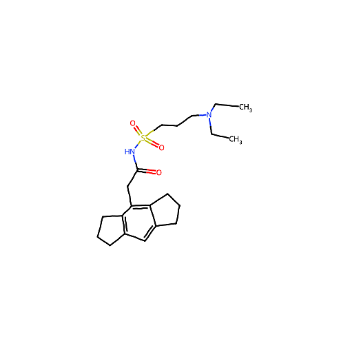 CCN(CC)CCCS(=O)(=O)NC(=O)Cc1c2c(cc3c1CCC3)CCC2